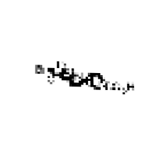 O=C(CBr)c1cc2ccc(N3CCCN(C(=O)O)CC3)nc2oc1=O